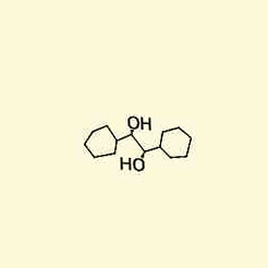 O[C@H](C1CCCCC1)[C@H](O)C1CCCCC1